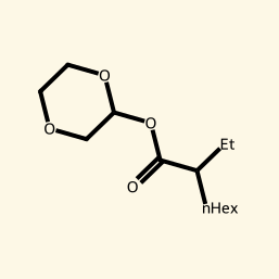 CCCCCCC(CC)C(=O)OC1COCCO1